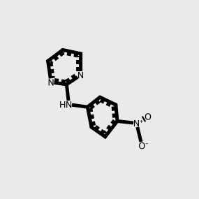 O=[N+]([O-])c1ccc(Nc2ncccn2)cc1